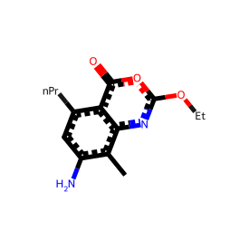 CCCc1cc(N)c(C)c2nc(OCC)oc(=O)c12